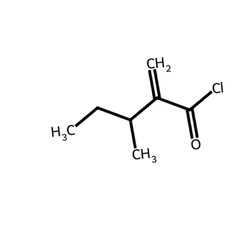 C=C(C(=O)Cl)C(C)CC